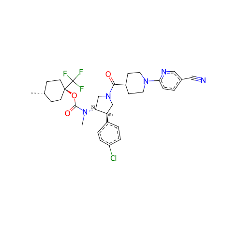 CN(C(=O)O[C@]1(C(F)(F)F)CC[C@@H](C)CC1)[C@@H]1CN(C(=O)C2CCN(c3ccc(C#N)cn3)CC2)C[C@H]1c1ccc(Cl)cc1